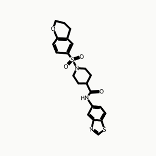 O=C(Nc1ccc2scnc2c1)C1CCN(S(=O)(=O)c2ccc3c(c2)CCCO3)CC1